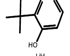 CC(C)(C)c1ccccc1O.[LiH]